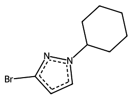 Brc1ccn(C2CCCCC2)n1